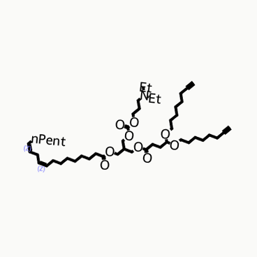 C#CCCCCCCOC(CCC(=O)OCC(COC(=O)CCCCCCC/C=C\C/C=C\CCCCC)COC(=O)OCCCN(CC)CC)OCCCCCCC#C